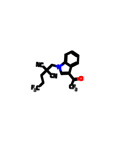 N#CC(C#N)(CCC(F)(F)F)Cn1cc(C(=O)C(F)(F)F)c2ccccc21